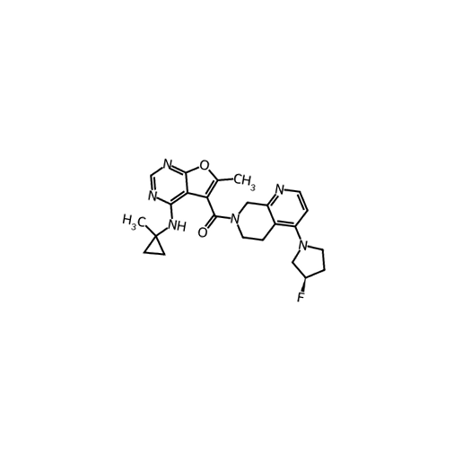 Cc1oc2ncnc(NC3(C)CC3)c2c1C(=O)N1CCc2c(N3CC[C@@H](F)C3)ccnc2C1